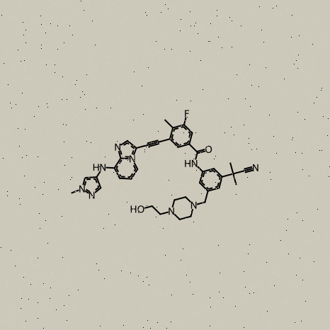 Cc1c(F)cc(C(=O)Nc2cc(CN3CCN(CCO)CC3)cc(C(C)(C)C#N)c2)cc1C#Cc1cnc2c(Nc3cnn(C)c3)cccn12